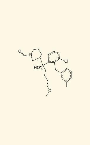 COCCCC[C@@](O)(c1cccc(Cl)c1Cc1cccc(C)c1)C1CCCN(C=O)C1